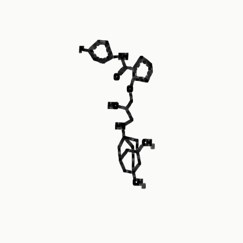 CC12CC3CC(C)(C1)CC(NCC(O)COc1ccccc1C(=O)Nc1ccc(F)cc1)(C3)C2